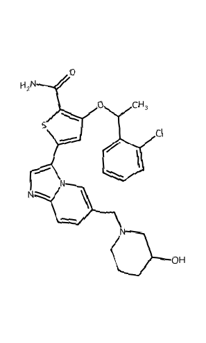 CC(Oc1cc(-c2cnc3ccc(CN4CCCC(O)C4)cn23)sc1C(N)=O)c1ccccc1Cl